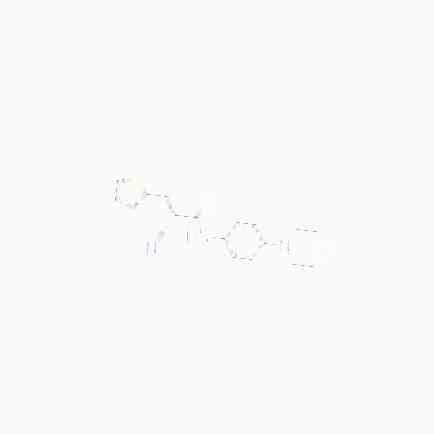 Cc1ccc(/C=C(\C#N)C(=O)Nc2ccc(N3CCOCC3)cc2)s1